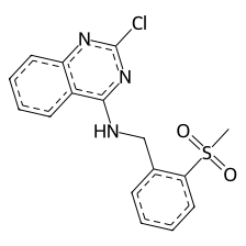 CS(=O)(=O)c1ccccc1CNc1nc(Cl)nc2ccccc12